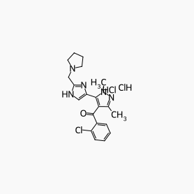 Cc1nn(C)c(-c2c[nH]c(CN3CCCC3)n2)c1C(=O)c1ccccc1Cl.Cl.Cl